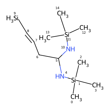 C[Si](C)(C)NC(CC=C[SiH3])N[Si](C)(C)C